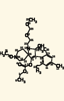 CCOC(=O)OC1=C(c2c(C)cc(C)cc2C)C(O)N(CCOCOC)C12CCN(OC)CC2